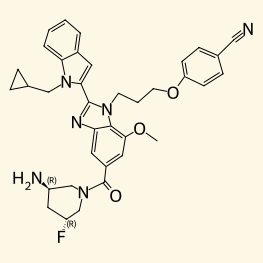 COc1cc(C(=O)N2C[C@H](N)C[C@@H](F)C2)cc2nc(-c3cc4ccccc4n3CC3CC3)n(CCCOc3ccc(C#N)cc3)c12